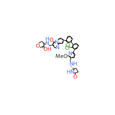 COc1nc(-c2cccc(-c3cccc(-c4ccn5c(=O)c(CN[C@H]6CCOC[C@@H]6O)cnc5c4)c3Cl)c2Cl)ccc1CNC[C@@H]1CCC(=O)N1